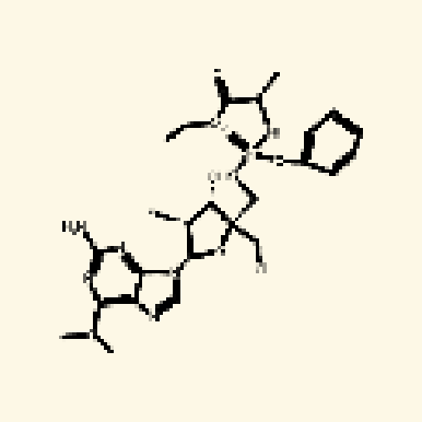 CCOC(=O)[C@@H](C)NP(=S)(OC[C@@]1(CCl)O[C@@H](n2cnc3c(N(C)C)nc(N)nc32)[C@@H](F)[C@@H]1O)Oc1ccccc1